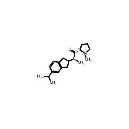 CC(C)c1ccc2c(c1)CC(N(C)C(=O)[C@@H]1CCCN1C)C2